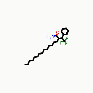 CCCCCCC=CCCCCCCC(C(N)=O)C(c1ccccc1)C(F)(F)F